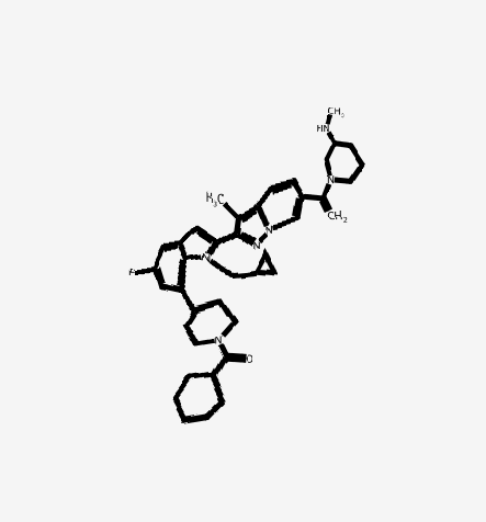 C=C(c1ccc2c(C)c(-c3cc4cc(F)cc(C5CCN(C(=O)C6CCCCC6)CC5)c4n3CC3CC3)nn2c1)N1CCCC(NC)C1